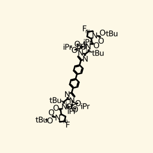 CC(C)OP(=O)(OC(C)C)n1cc(-c2ccc(-c3ccc(-c4cn(P(=O)(OC(C)C)OC(C)C)c([C@@H](NC(=O)C5C[C@@H](F)CN5C(=O)OC(C)(C)C)C(C)(C)C)n4)cc3)cc2)nc1[C@@H](NC(=O)C1C[C@@H](F)CN1C(=O)OC(C)(C)C)C(C)(C)C